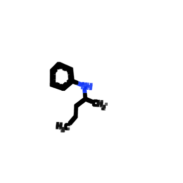 [CH2]C(CCC)Nc1ccccc1